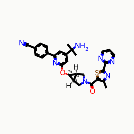 Cc1nc(-c2ncccn2)sc1C(=O)N1C[C@@H]2[C@H](C1)[C@@H]2Oc1cc(C(C)(C)N)cc(-c2ccc(C#N)cc2)n1